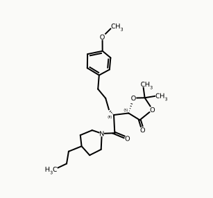 CCCC1CCN(C(=O)[C@H](CCCc2ccc(OC)cc2)[C@@H]2OC(C)(C)OC2=O)CC1